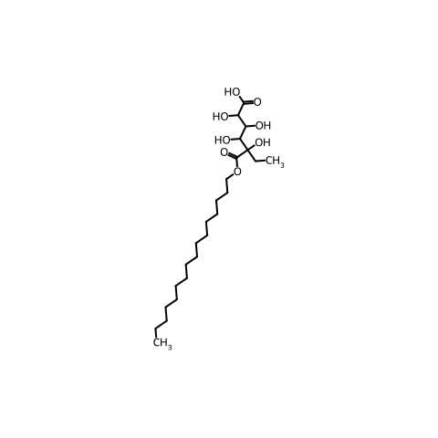 CCCCCCCCCCCCCCCCOC(=O)C(O)(CC)C(O)C(O)C(O)C(=O)O